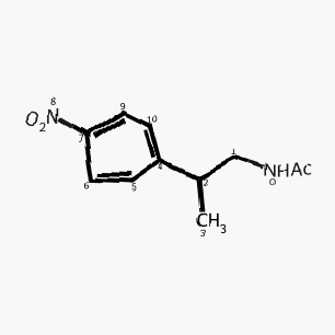 CC(=O)NCC(C)c1ccc([N+](=O)[O-])cc1